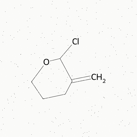 C=C1CCCOC1Cl